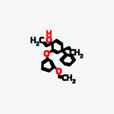 C=COc1cccc(OC2=CC(C=C)(c3ccccc3)C=CC2(O)C=C)c1